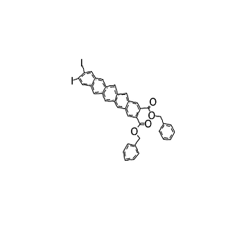 O=C(OCc1ccccc1)c1cc2cc3cc4cc5cc(I)c(I)cc5cc4cc3cc2cc1C(=O)OCc1ccccc1